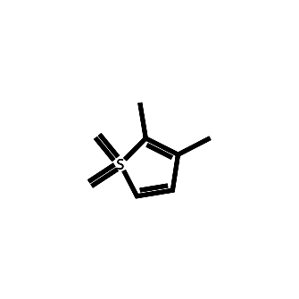 C=S1(=C)C=CC(C)=C1C